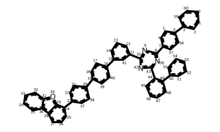 c1ccc(-c2ccc(-c3nc(-c4cccc(-c5ccc(-c6ccc(-c7cccc8c7oc7ccccc78)cc6)cc5)c4)nc(-c4ccccc4-c4ccccc4)n3)cc2)cc1